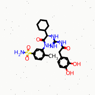 Cc1ccc(S(N)(=O)=O)cc1NC(=O)[C@H](NC(=N)NC(=O)Cc1ccc(O)c(O)c1)C1CCCCC1